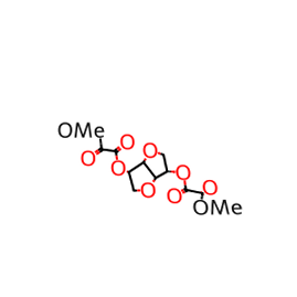 COC(=O)C(=O)O[C@H]1COC2C1OC[C@H]2OC(=O)C(=O)OC